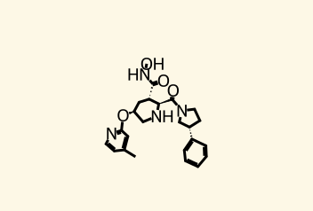 Cc1ccnc(O[C@@H]2CN[C@H](C(=O)N3CC[C@H](c4ccccc4)C3)[C@@H](C(=O)NO)C2)c1